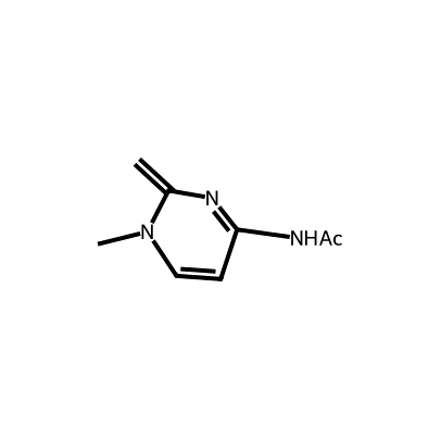 C=C1N=C(NC(C)=O)C=CN1C